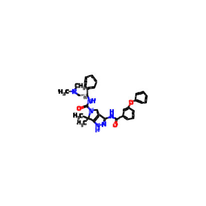 CN(C)C[C@@H](NC(=O)N1Cc2c(NC(=O)c3cccc(Oc4ccccc4)c3)n[nH]c2C1(C)C)c1ccccc1